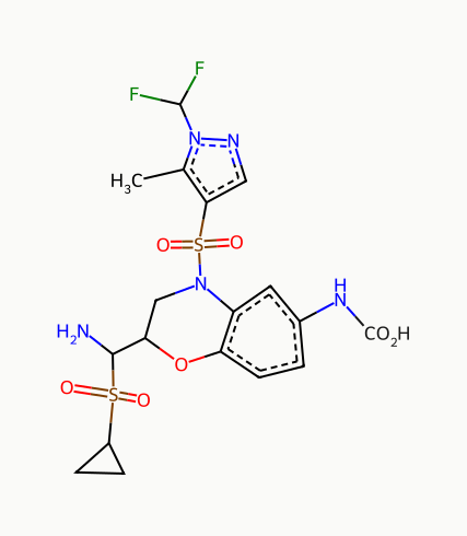 Cc1c(S(=O)(=O)N2CC(C(N)S(=O)(=O)C3CC3)Oc3ccc(NC(=O)O)cc32)cnn1C(F)F